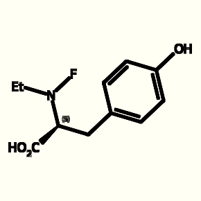 CCN(F)[C@@H](Cc1ccc(O)cc1)C(=O)O